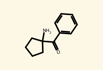 NC1(C(=O)c2ccccc2)CCCC1